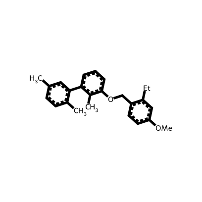 CCc1cc(OC)ccc1COc1cccc(-c2cc(C)ccc2C)c1C